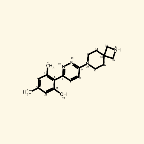 Cc1cc(C)c(-c2ccc(N3CCC4(CC3)CNC4)nn2)c(O)c1